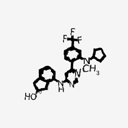 CN(c1cc(C(F)(F)F)ccc1-c1cc(Nc2cccc3c2C[C@H](O)C3)ncn1)C1CCCC1